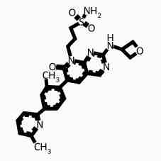 Cc1cccc(-c2ccc(-c3cc4cnc(NC5COC5)nc4n(CCCS(N)(=O)=O)c3=O)c(C)c2)n1